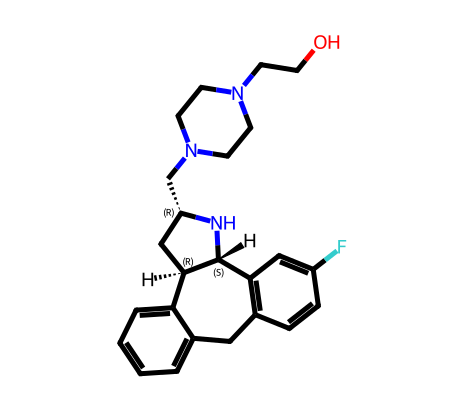 OCCN1CCN(C[C@H]2C[C@@H]3c4ccccc4Cc4ccc(F)cc4[C@H]3N2)CC1